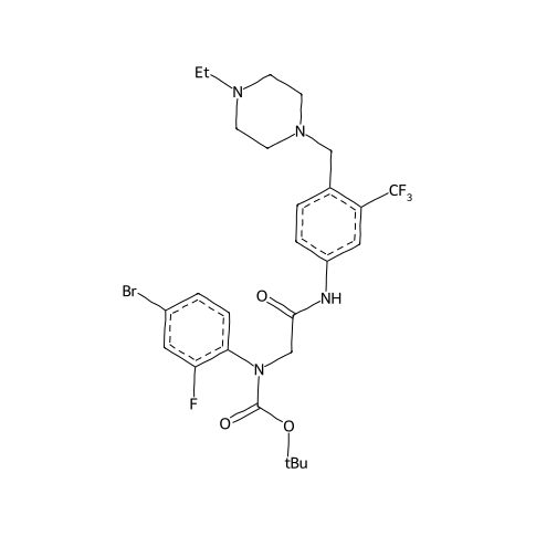 CCN1CCN(Cc2ccc(NC(=O)CN(C(=O)OC(C)(C)C)c3ccc(Br)cc3F)cc2C(F)(F)F)CC1